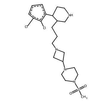 CS(=O)(=O)N1CCN(C2CN(CCCC3CNCCC3c3cccc(Cl)c3Cl)C2)CC1